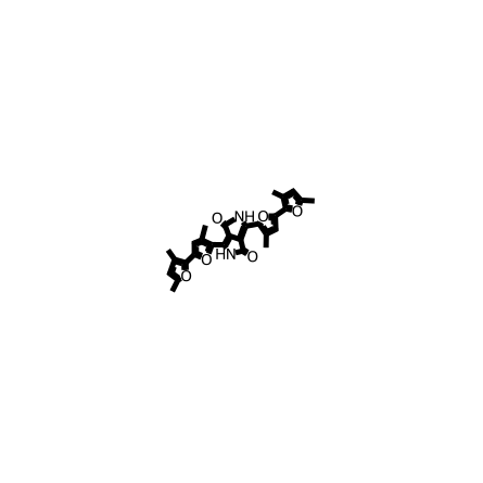 Cc1cc(C)c(-c2cc(C)c(C3=C4C(=O)NC(c5oc(-c6oc(C)cc6C)cc5C)=C4C(=O)N3)o2)o1